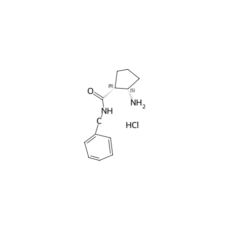 Cl.N[C@H]1CCC[C@H]1C(=O)NCc1ccccc1